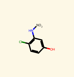 O=[N+]([O-])Nc1cc(O)ccc1Cl